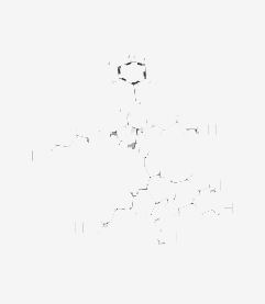 CCCCOC[C@H]1O[C@@H](OCC(OCCCC)C(OCCCC)C(COC)OCCCC)[C@@H](OCCCC)C1OCc1ccccc1